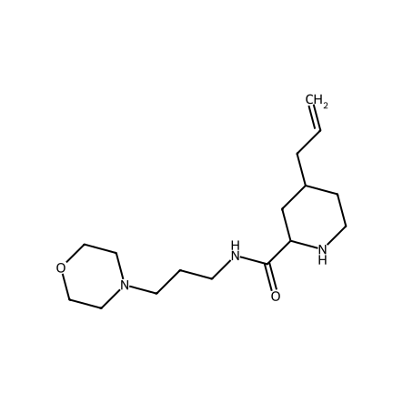 C=CCC1CCNC(C(=O)NCCCN2CCOCC2)C1